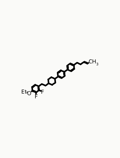 C/C=C/CCc1ccc(-c2ccc(C3CCC(CCc4ccc(OCC)c(F)c4F)CC3)cc2)cc1